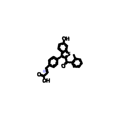 Cc1ccccc1C(=O)c1sc2cc(O)ccc2c1-c1ccc(/C=C/C(=O)O)cc1